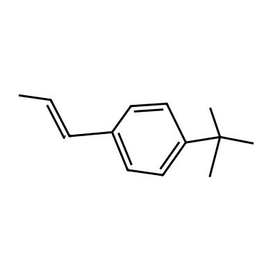 C/C=[C]/c1ccc(C(C)(C)C)cc1